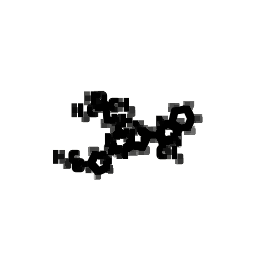 CO[C@@H]1CCN(c2nc(NCC(C)(C)O)n3nc(-c4nc5c(nc4C)CCCC5)cc3n2)C1